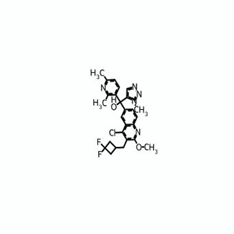 COc1nc2ccc(C(O)(c3ccc(C)nc3C)c3cnnn3C)cc2c(Cl)c1CC1CC(F)(F)C1